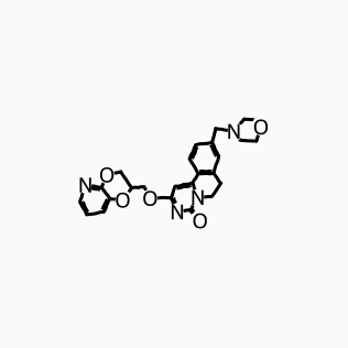 O=c1nc(OCC2COc3ncccc3O2)cc2n1CCc1cc(CN3CCOCC3)ccc1-2